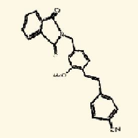 COc1cc(CN2C(=O)c3ccccc3C2=O)ccc1/C=C/c1ccc(C#N)cc1